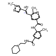 CCC/C(=C\c1cc(C(=O)Nc2cc(C(=O)NCCN3CCCCC3)ccc2C)cnc1C)c1cnn(C)c1